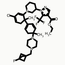 CCOC(=O)c1cnn(C2CCCN(C3=CC(Cl)=CCC3(C)C3=CCC(C)(N4CCN(CC56CC(F)(C5)C6)CC4)C=C3)C2)c1C(F)(F)F